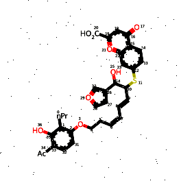 CCCc1c(OCC/C=C\C=C\C(Sc2ccc3c(=O)cc(C(=O)O)oc3c2)C(O)c2ccoc2)ccc(C(C)=O)c1O